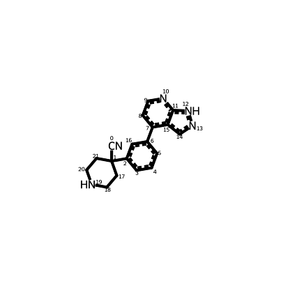 N#CC1(c2cccc(-c3ccnc4[nH]ncc34)c2)CCNCC1